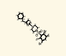 O=S(=O)(c1c(F)c(Br)cc(F)c1Br)N1CCN(c2nc(Cc3ccccc3)cs2)CC1